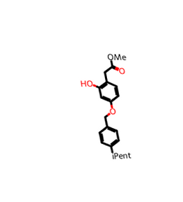 CCCC(C)c1ccc(COc2ccc(CC(=O)OC)c(O)c2)cc1